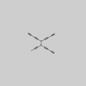 C#CC#CP(C#CC)P(C#CC#C)C#CC#C